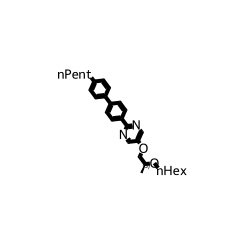 CCCCCCO[C@@H](C)COc1cnc(-c2ccc(-c3ccc(CCCCC)cc3)cc2)nc1